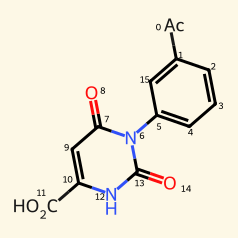 CC(=O)c1cccc(-n2c(=O)cc(C(=O)O)[nH]c2=O)c1